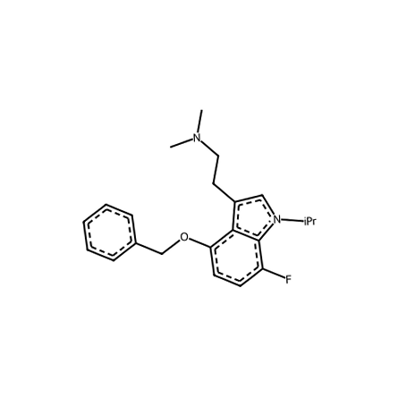 CC(C)n1cc(CCN(C)C)c2c(OCc3ccccc3)ccc(F)c21